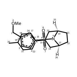 COCc1ccc(S(=O)(=O)N2[C@@H]3CC[C@H]2CC(N2CCC(C)CC2)C3)o1